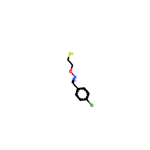 SCCO/N=C/c1ccc(Cl)cc1